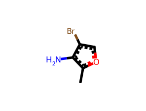 Cc1occ(Br)c1N